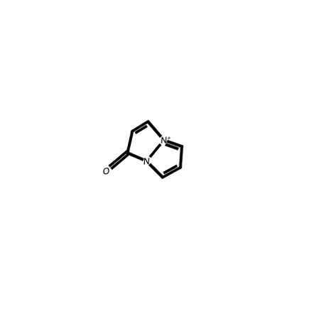 O=C1C=C[n+]2cccn21